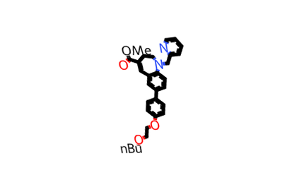 CCCCOCCOc1ccc(-c2ccc3c(c2)C=C(C(=O)OC)CCN3Cc2ccccn2)cc1